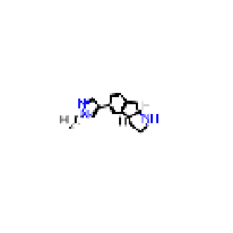 Cn1cc(-c2ccc3c(c2)[C@H]2CCCN[C@H]2C3)cn1